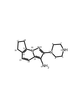 Nc1c(N2CCNCC2)nn2c3c(ccc12)CCC3